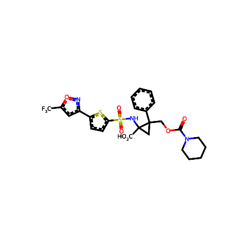 O=C(OCC1(c2ccccc2)CC1(NS(=O)(=O)c1ccc(-c2cc(C(F)(F)F)on2)s1)C(=O)O)N1CCCCC1